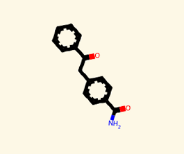 NC(=O)c1ccc(CC(=O)c2ccccc2)cc1